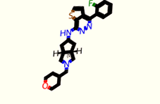 Fc1ccccc1-c1nnc(NC2C[C@@H]3CN(CC4CCOCC4)C[C@@H]3C2)c2sccc12